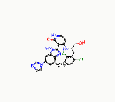 Cc1cc(-n2ccnc2)cc2[nH]c(-c3c(NC(CO)Cc4c(Cl)cccc4Cl)cc[nH]c3=O)nc12